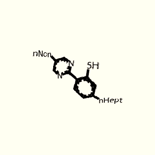 CCCCCCCCCc1cnc(-c2ccc(CCCCCCC)cc2S)nc1